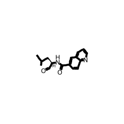 CC(C)C[C@H](C=O)NC(=O)c1ccc2ncccc2c1